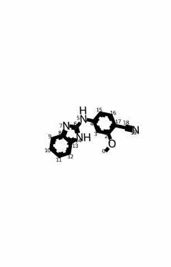 COc1cc(Nc2nc3ccccc3[nH]2)ccc1C#N